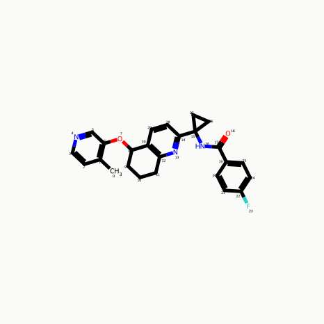 Cc1ccncc1OC1CCCc2nc(C3(NC(=O)c4ccc(F)cc4)CC3)ccc21